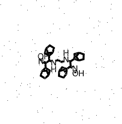 ON=C(C1CC2CCC1C2)C(NCCNC(C(=NO)C1CC2CCC1C2)C1CC2CCC1C2)C1CC2CCC1C2